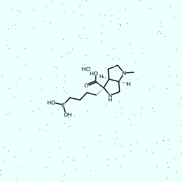 CN1CC[C@H]2[C@@H]1CN[C@@]2(CCCCB(O)O)C(=O)O.Cl